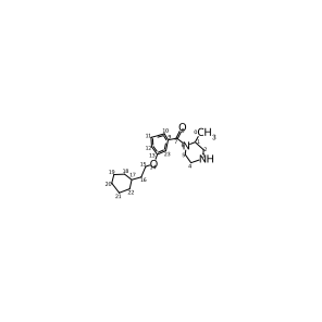 CC1CNCCN1C(=O)c1cccc(OCCC2CCCCC2)c1